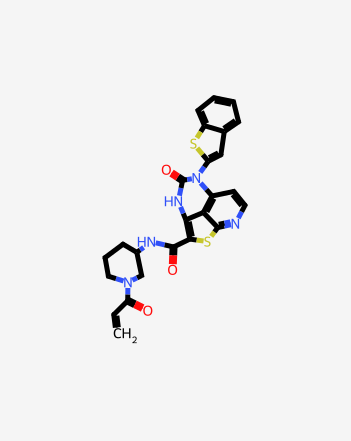 C=CC(=O)N1CCCC(NC(=O)c2sc3nccc4c3c2NC(=O)N4c2cc3ccccc3s2)C1